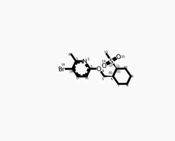 Cc1nc(OC[C@@H]2CCCC[C@@H]2S(C)(=O)=O)ccc1Br